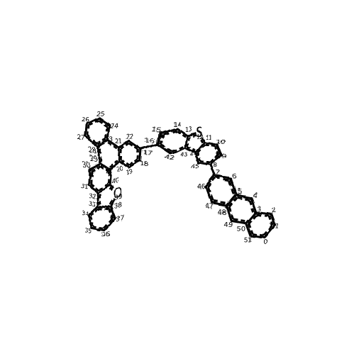 c1ccc2cc3cc(-c4ccc5sc6ccc(-c7ccc8c(c7)c7ccccc7c7ccc9c%10ccccc%10oc9c78)cc6c5c4)ccc3cc2c1